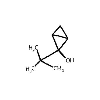 CC(C)(C)C1(O)C2CC21